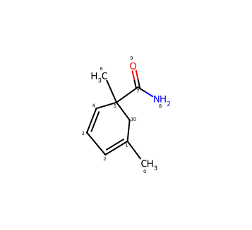 CC1=CC=CC(C)(C(N)=O)C1